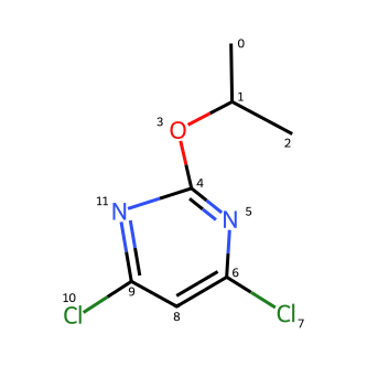 CC(C)Oc1nc(Cl)cc(Cl)n1